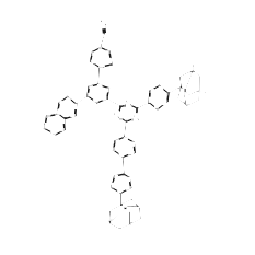 N#Cc1ccc(-c2cc(-c3ccc4ccccc4c3)cc(-c3nc(-c4ccc(-c5ccc(C67C[C@H]8C[C@@H](C6)C[C@@H](C7)C8)cc5)cc4)nc(-c4ccc(C56C[C@H]7C[C@@H](C5)C[C@@H](C6)C7)cc4)n3)c2)cc1